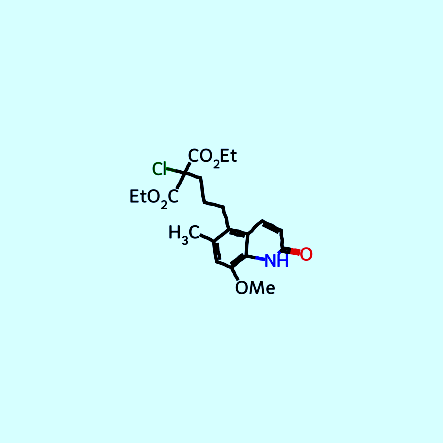 CCOC(=O)C(Cl)(CCCc1c(C)cc(OC)c2[nH]c(=O)ccc12)C(=O)OCC